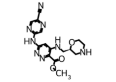 COC(=O)c1nnc(Nc2cnc(C#N)cn2)cc1NC[C@@H]1CNCCO1